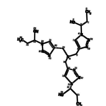 CCC(O)n1cc(CN(Cc2cn(C(O)CC)nn2)Cc2cn(C(O)CC)nn2)nn1